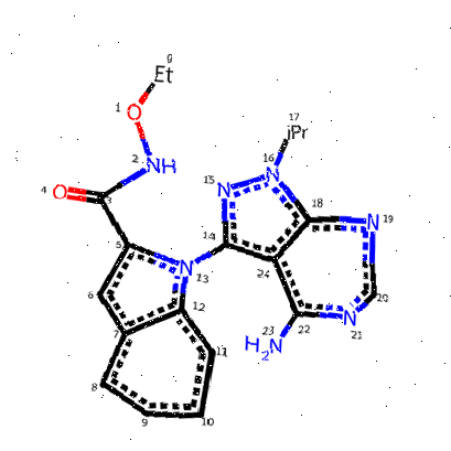 CCONC(=O)c1cc2ccccc2n1-c1nn(C(C)C)c2ncnc(N)c12